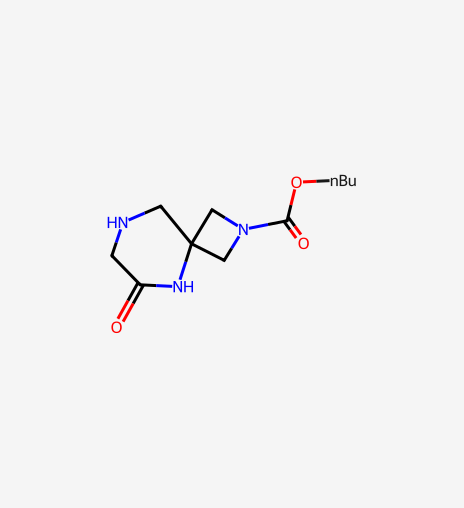 CCCCOC(=O)N1CC2(CNCC(=O)N2)C1